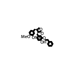 COc1ccc(C[C@H]2COC(=O)[C@@H]2Cc2ccc(O)c(OCCc3ccccc3)c2)cc1OC